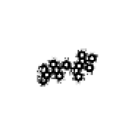 c1ccc(C2(c3ccccc3)c3ccccc3-c3cc4c(-c5cccc(-c6c7ccccc7c(-c7cc8cccnc8c8ncccc78)c7ccccc67)c5)nc5ccccc5c4cc32)cc1